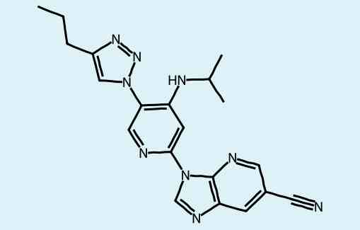 CCCc1cn(-c2cnc(-n3cnc4cc(C#N)cnc43)cc2NC(C)C)nn1